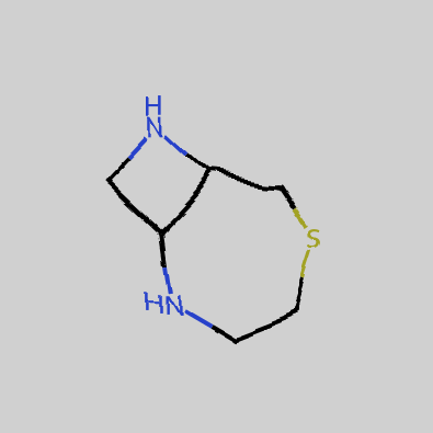 C1CSCC2NCC2N1